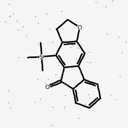 C[Si](C)(C)c1c2c(cc3c1C(=O)c1ccccc1-3)OCC2